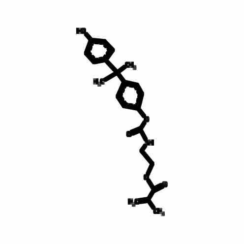 C=C(C)C(=O)OCCNC(=O)Oc1ccc(C(C)(C)c2ccc(O)cc2)cc1